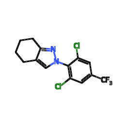 FC(F)(F)c1cc(Cl)c(-n2cc3c(n2)CCCC3)c(Cl)c1